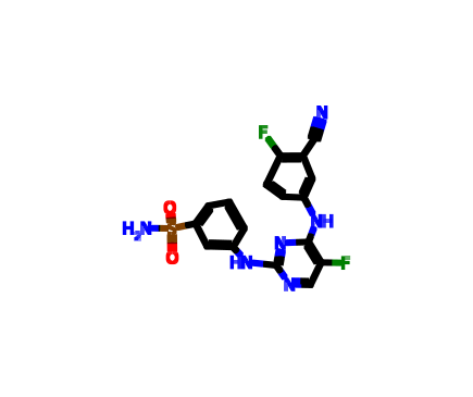 N#Cc1cc(Nc2nc(Nc3cccc(S(N)(=O)=O)c3)ncc2F)ccc1F